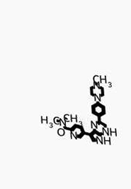 CN1CCN(c2ccc(C3=Nc4c(-c5ccc(C(=O)N(C)C)nc5)c[nH]c4NC3)cc2)CC1